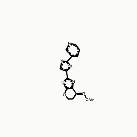 CO/N=C1\CCOc2oc(-c3cnc(-c4cccnc4)s3)nc21